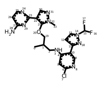 CC(CNc1cc(Cl)ncc1-c1ccn(C(F)F)n1)COc1c(-c2nccc(N)n2)cnn1C